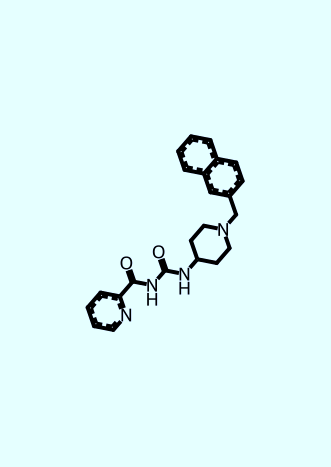 O=C(NC(=O)c1ccccn1)NC1CCN(Cc2ccc3ccccc3c2)CC1